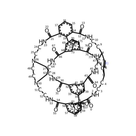 O=C1NCCC2/C=C/C3CCNC(=O)c4cccc(c4O)C(=O)NCCN(CCNC(=O)c4cc(S(=O)(=O)O)cc(c4O)C(=O)NCC3)CCN(CCNC(=O)c3cccc1c3O)CCNC(=O)c1cccc(c1O)C(=O)NCC2